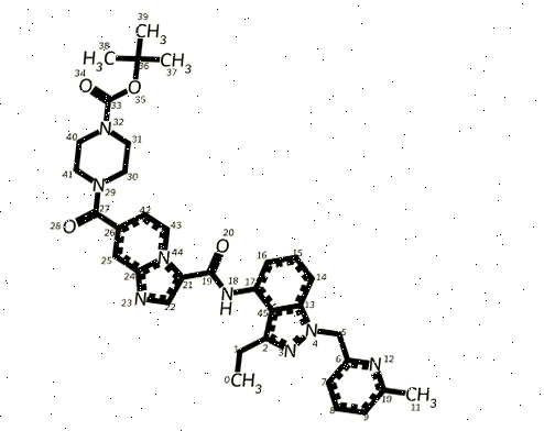 CCc1nn(Cc2cccc(C)n2)c2cccc(NC(=O)c3cnc4cc(C(=O)N5CCN(C(=O)OC(C)(C)C)CC5)ccn34)c12